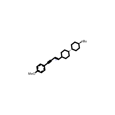 CCCC[C@H]1CC[C@H](C2CCC(/C=C/C#Cc3ccc(OC)cc3)CC2)CC1